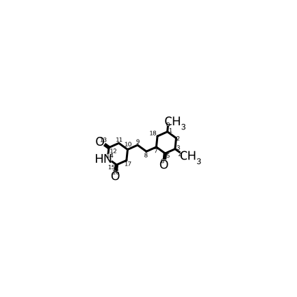 CC1CC(C)C(=O)C(CCC2CC(=O)NC(=O)C2)C1